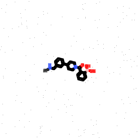 CC(C)NCc1cccc(C2CCN(C(=O)c3ccccc3B(O)O)CC2)c1